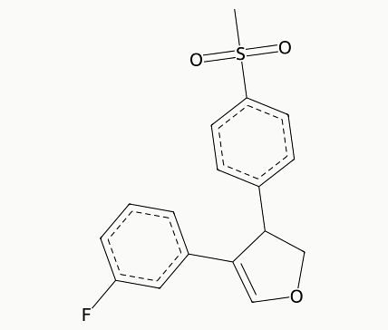 CS(=O)(=O)c1ccc(C2COC=C2c2cccc(F)c2)cc1